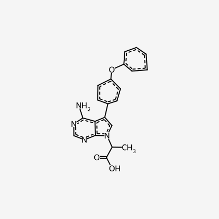 CC(C(=O)O)n1cc(-c2ccc(Oc3ccccc3)cc2)c2c(N)ncnc21